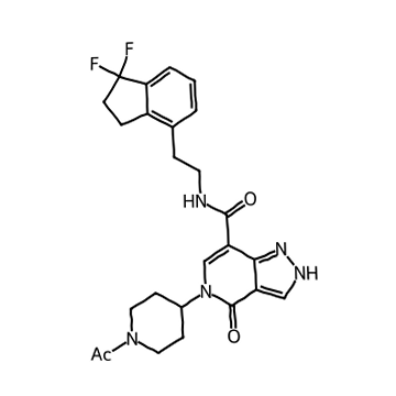 CC(=O)N1CCC(n2cc(C(=O)NCCc3cccc4c3CCC4(F)F)c3n[nH]cc3c2=O)CC1